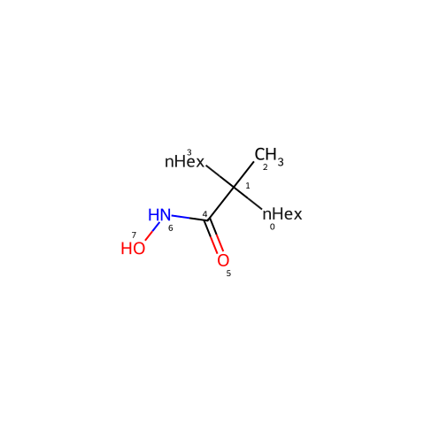 CCCCCCC(C)(CCCCCC)C(=O)NO